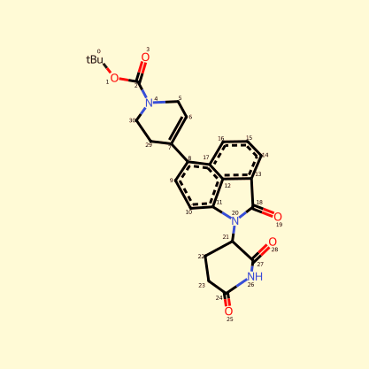 CC(C)(C)OC(=O)N1CC=C(c2ccc3c4c(cccc24)C(=O)N3C2CCC(=O)NC2=O)CC1